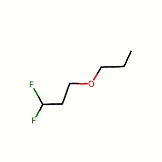 CCCOCCC(F)F